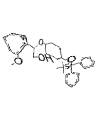 COc1ccccc1C(CO)OC1CCC(O[Si](c2ccccc2)(c2ccccc2)C(C)(C)C)CC1